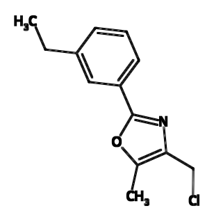 CCc1cccc(-c2nc(CCl)c(C)o2)c1